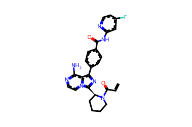 C=CC(=O)N1CCCC[C@H]1c1nc(-c2ccc(C(=O)Nc3cc(F)ccn3)cc2)c2c(N)nccn12